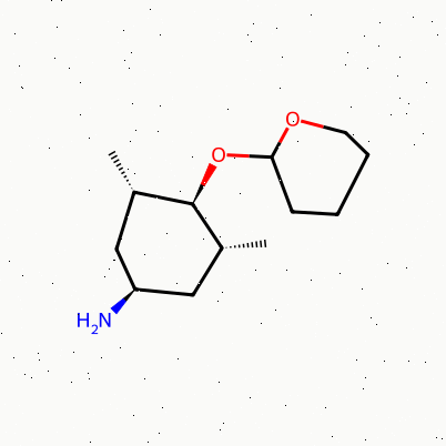 C[C@@H]1C[C@@H](N)C[C@H](C)[C@H]1OC1CCCCO1